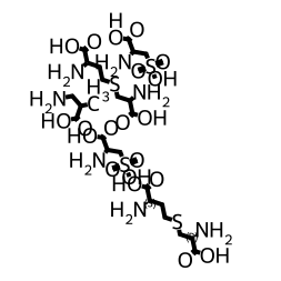 CC(CN)C(=O)O.NC(CCSCC(N)C(=O)O)C(=O)O.NC(CS(=O)(=O)O)C(=O)O.NC(CS(=O)(=O)O)C(=O)O.N[C@@H](CCSC[C@H](N)C(=O)O)C(=O)O